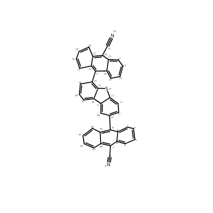 N#Cc1c2ccccc2c(-c2ccc3sc4c(-c5c6ccccc6c(C#N)c6ccccc56)cccc4c3c2)c2ccccc12